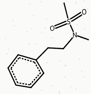 CN(CCc1ccccc1)S(C)(=O)=O